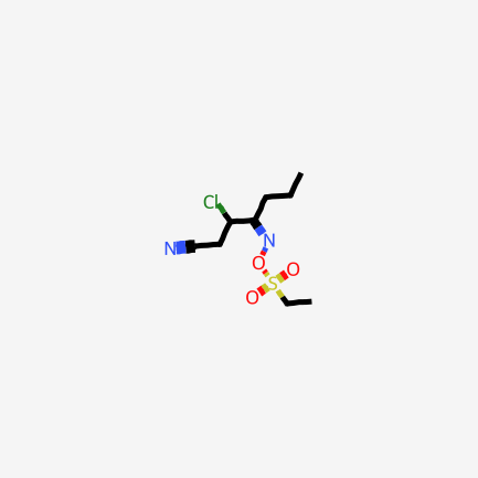 CCCC(=NOS(=O)(=O)CC)C(Cl)CC#N